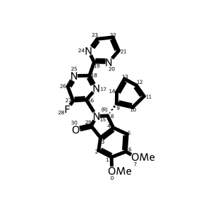 COc1cc2c(cc1OC)[C@@H](c1ccccc1)N(c1nc(-c3ncccn3)ncc1F)C2=O